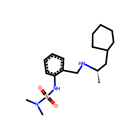 C[C@@H](CC1CCCCC1)NCc1ccccc1NS(=O)(=O)N(C)C